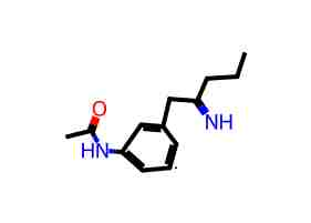 CCCC(=N)Cc1c[c]cc(NC(C)=O)c1